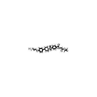 CC(C)(C)OC(=O)CNC(=O)c1ccc(S(=O)(=O)N2CCC(c3ccc(OCCN)cc3)CC2)cc1